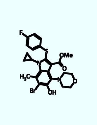 COC(=O)c1c(Sc2ccc(F)cc2)n(C2CC2)c2c(C)c(Br)c(O)c(N3CCOCC3)c12